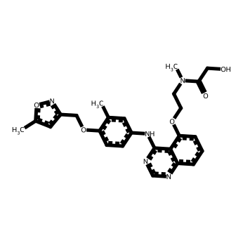 Cc1cc(COc2ccc(Nc3ncnc4cccc(OCCN(C)C(=O)CO)c34)cc2C)no1